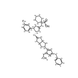 CCn1nc(Cc2ccccc2)cc1C1CC2CN(C[C@H]3CN(CC4(C(=O)O)CCCCC4)C[C@@H]3c3cccc(F)c3)CC2C1